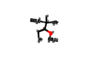 CCCC(C)(C(=O)OCC)C(CC(C)C)OC(=O)OCC